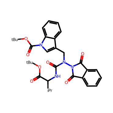 CC(C)C(NC(=O)N(Cc1cn(C(=O)OC(C)(C)C)c2ccccc12)N1C(=O)c2ccccc2C1=O)C(=O)OC(C)(C)C